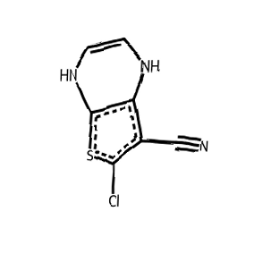 N#Cc1c(Cl)sc2c1NC=CN2